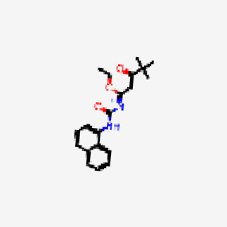 CCO/C(CC(=O)C(C)(C)C)=N\C(=O)Nc1cccc2ccccc12